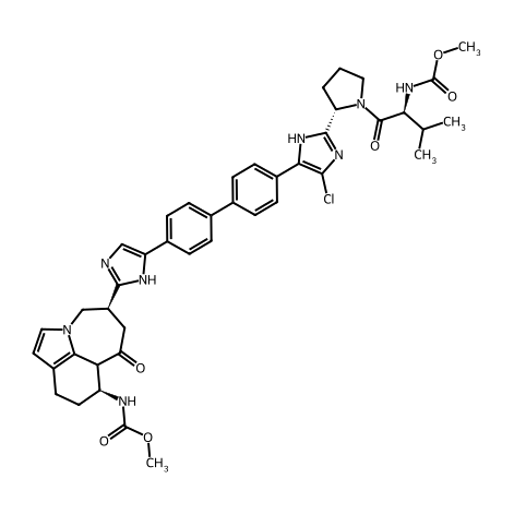 COC(=O)N[C@H]1CCc2ccn3c2C1C(=O)C[C@H](c1ncc(-c2ccc(-c4ccc(-c5[nH]c([C@@H]6CCCN6C(=O)[C@@H](NC(=O)OC)C(C)C)nc5Cl)cc4)cc2)[nH]1)C3